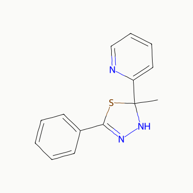 CC1(c2ccccn2)NN=C(c2ccccc2)S1